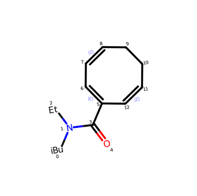 CCC(C)N(CC)C(=O)C1=C/C=C\CC/C=C\1